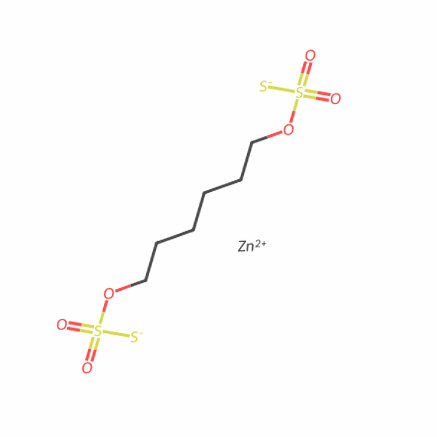 O=S(=O)([S-])OCCCCCCOS(=O)(=O)[S-].[Zn+2]